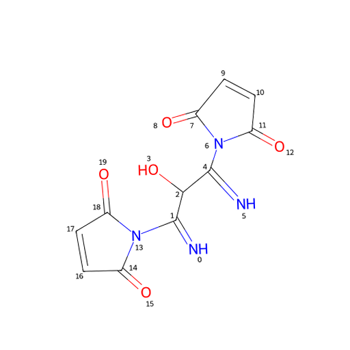 N=C(C(O)C(=N)N1C(=O)C=CC1=O)N1C(=O)C=CC1=O